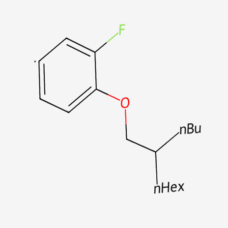 CCCCCCC(CCCC)COc1cc[c]cc1F